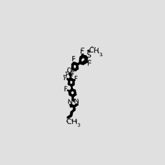 CCCCCc1cnc(-c2ccc(-c3cc(F)c(C(F)(F)Oc4ccc(-c5cc(F)c(SCC)c(F)c5)c(F)c4)c(F)c3)c(F)c2)nc1